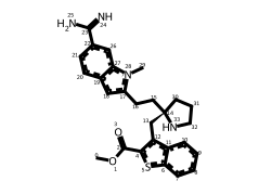 COC(=O)c1sc2ccccc2c1C[C@@]1(CCc2cc3ccc(C(=N)N)cc3n2C)CCCN1